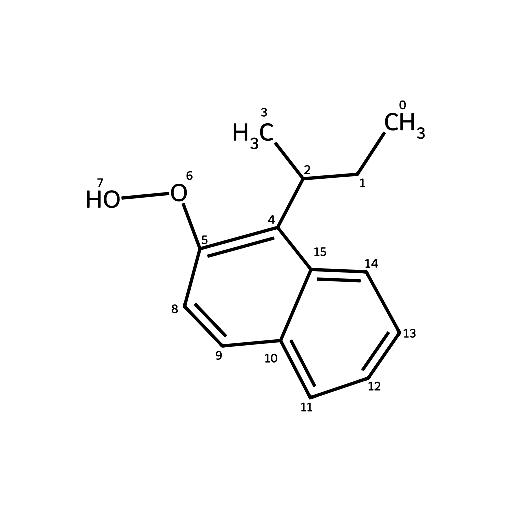 CCC(C)c1c(OO)ccc2ccccc12